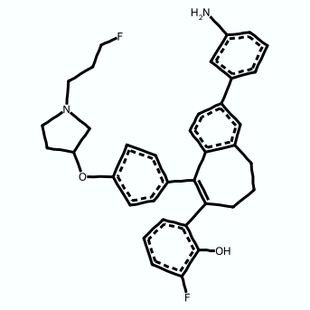 Nc1cccc(-c2ccc3c(c2)CCCC(c2cccc(F)c2O)=C3c2ccc(OC3CCN(CCCF)C3)cc2)c1